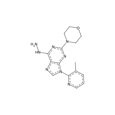 Cc1cccnc1-n1cnc2c(NN)nc(N3CCOCC3)nc21